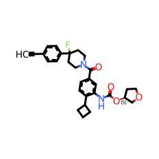 C#Cc1ccc(C2(F)CCN(C(=O)c3ccc(C4CCC4)c(NC(=O)O[C@H]4CCOC4)c3)CC2)cc1